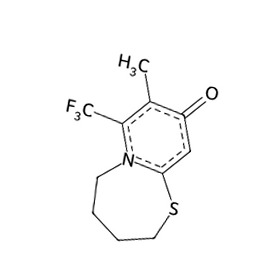 Cc1c(C(F)(F)F)n2c(cc1=O)SCCCC2